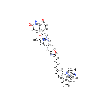 CC(C)(C)[Si](C)(C)O[C@@H](CNCc1ccc2nc(CCCCc3ccc(-c4ccccc4)c(N(C(=O)O)[C@H]4CN5CCC4CC5)c3)oc2c1)c1ccc(O)c2[nH]c(=O)ccc12